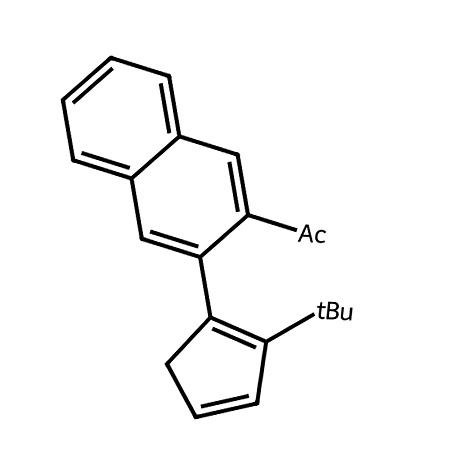 CC(=O)c1cc2ccccc2cc1C1=C(C(C)(C)C)C=CC1